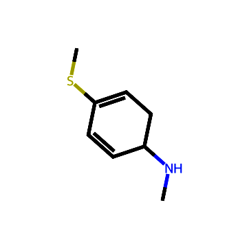 CNC1C=CC(SC)=CC1